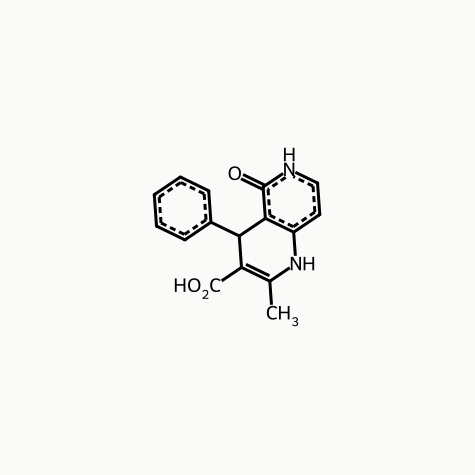 CC1=C(C(=O)O)C(c2ccccc2)c2c(cc[nH]c2=O)N1